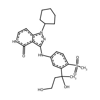 CC(O)(CCO)c1cc(Nc2nn(C3CCCCC3)c3cc[nH]c(=O)c23)ccc1S(C)(=O)=O